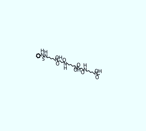 CC(=O)N(O)CCCCCNC(=O)CCC(=O)N(O)CCCCCNC(=O)CCC(=O)N(O)CCCCCNC(=S)Nc1ccccc1